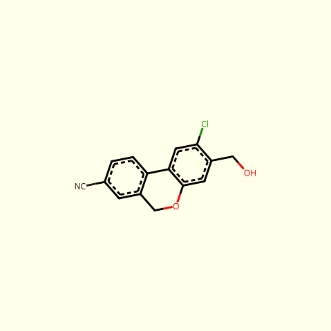 N#Cc1ccc2c(c1)COc1cc(CO)c(Cl)cc1-2